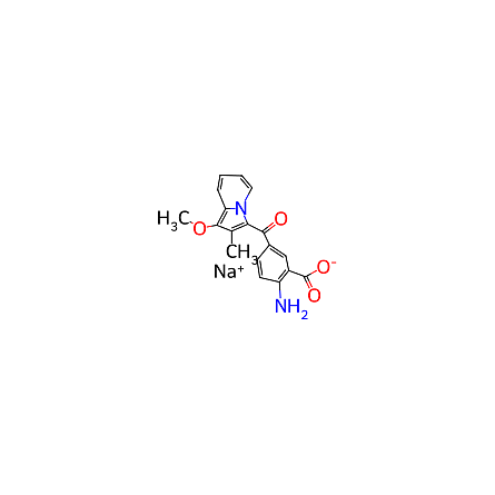 COc1c(C)c(C(=O)c2ccc(N)c(C(=O)[O-])c2)n2ccccc12.[Na+]